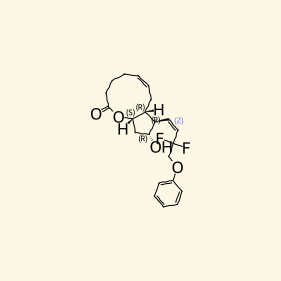 O=C1CCCC=CC[C@@H]2[C@@H](/C=C\C(F)(F)COc3ccccc3)[C@H](O)C[C@@H]2O1